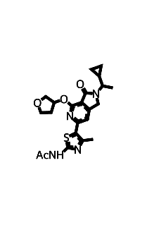 CC(=O)Nc1nc(C)c(-c2cc3c(c(OC4CCOC4)n2)C(=O)N(C(C)C2CC2)C3)s1